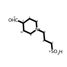 O=CC1CCN(CCCS(=O)(=O)O)CC1